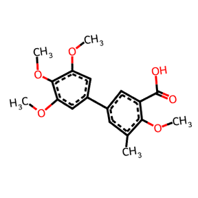 COc1cc(-c2cc(C)c(OC)c(C(=O)O)c2)cc(OC)c1OC